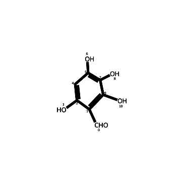 O=Cc1c(O)cc(O)c(O)c1O